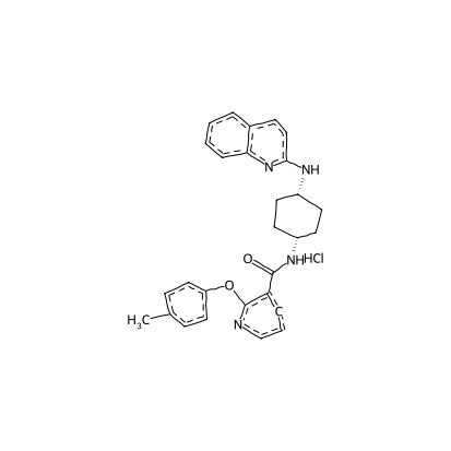 Cc1ccc(Oc2ncccc2C(=O)N[C@H]2CC[C@@H](Nc3ccc4ccccc4n3)CC2)cc1.Cl